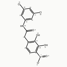 O=C(Cc1ccc([N+](=O)[O-])c(O)c1O)Nc1cc(Cl)cc(Cl)c1